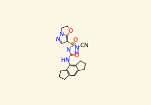 N#CN[S@](=O)(=NC(=O)Nc1c2c(cc3c1CCC3)CCC2)c1cnn2c1OCC2